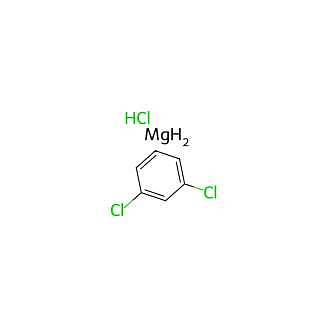 Cl.Clc1cccc(Cl)c1.[MgH2]